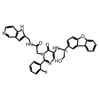 O=C(Cn1c(-c2ccccc2F)ncc(N[C@H](CO)c2ccc3oc4ccccc4c3c2)c1=O)NCc1cc2cnccc2[nH]1